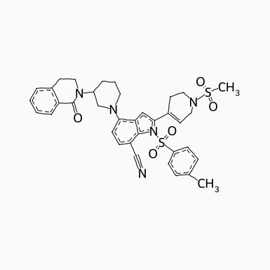 Cc1ccc(S(=O)(=O)n2c(C3=CCN(S(C)(=O)=O)CC3)cc3c(N4CCCC(N5CCc6ccccc6C5=O)C4)ccc(C#N)c32)cc1